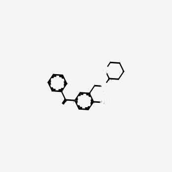 Nc1ccc(C(=O)c2ccccc2)cc1COC1CCCCO1